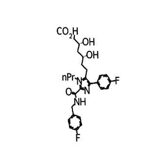 CCCn1c(C(=O)NCc2ccc(F)cc2)nc(-c2ccc(F)cc2)c1CC[C@@H](O)C[C@@H](O)CC(=O)O